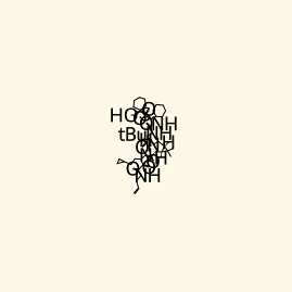 C=CCNC(=O)C(=O)C(CCC1CC1)NC(=O)[C@@H]1[C@@H]2[C@H](CN1C(=O)[C@@H](NC(=O)NC1(CS(=O)(=O)C3(CO)CCCCC3)CCCCC1)C(C)(C)C)C2(C)C